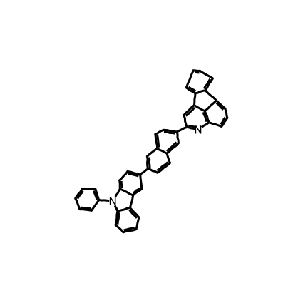 c1ccc(-n2c3ccccc3c3cc(-c4ccc5cc(-c6cc7c8c(cccc8n6)-c6ccccc6-7)ccc5c4)ccc32)cc1